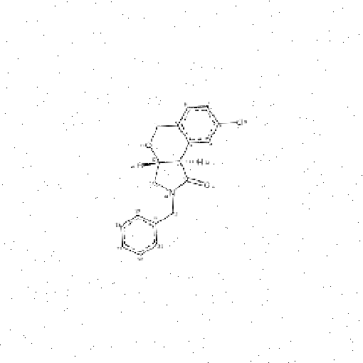 O=C1[C@@H]2c3cc(Cl)ccc3CO[C@H]2CN1Cc1ccccc1